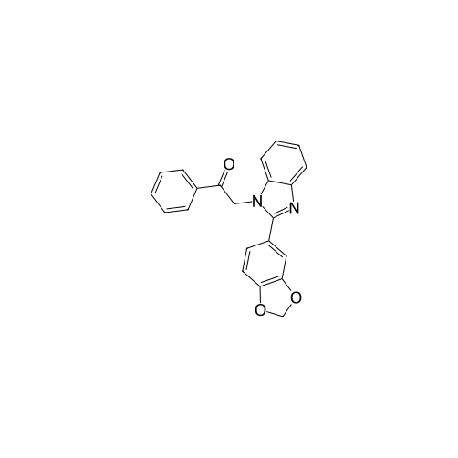 O=C(Cn1c(-c2ccc3c(c2)OCO3)nc2ccccc21)c1ccccc1